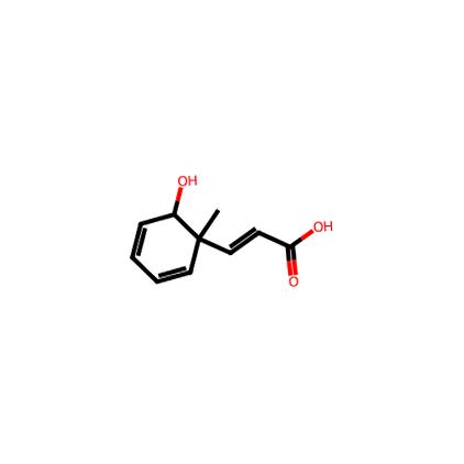 CC1(/C=C/C(=O)O)C=CC=CC1O